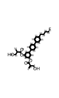 C=C(CO)C(=O)Oc1cc(OC(=O)C(C)CO)cc(-c2ccc(-c3ccc(CCCCF)cc3)cc2)c1